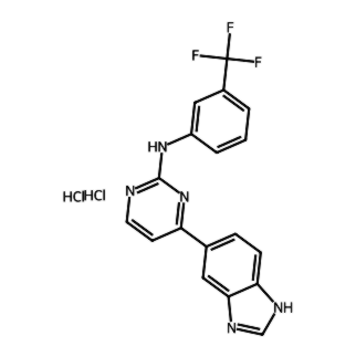 Cl.Cl.FC(F)(F)c1cccc(Nc2nccc(-c3ccc4[nH]cnc4c3)n2)c1